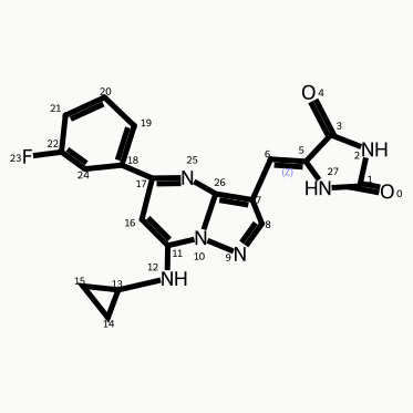 O=C1NC(=O)/C(=C/c2cnn3c(NC4CC4)cc(-c4cccc(F)c4)nc23)N1